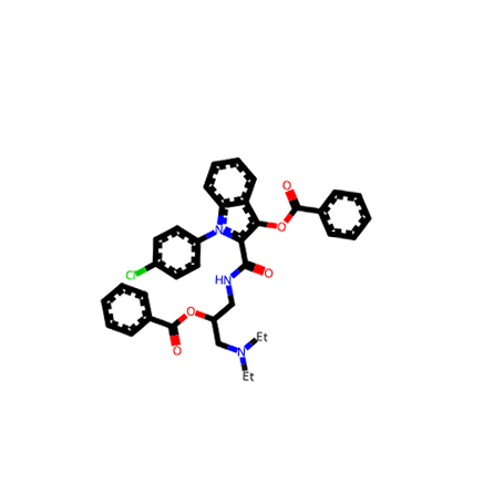 CCN(CC)CC(CNC(=O)c1c(OC(=O)c2ccccc2)c2ccccc2n1-c1ccc(Cl)cc1)OC(=O)c1ccccc1